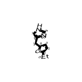 CCc1ccc(Cc2c[nH]cn2)o1